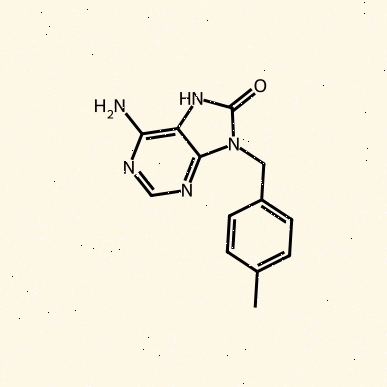 Cc1ccc(Cn2c(=O)[nH]c3c(N)ncnc32)cc1